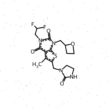 Cc1c(CN2CCNC2=O)sc2c1c(=O)n(CC(F)F)c(=O)n2CC1CCO1